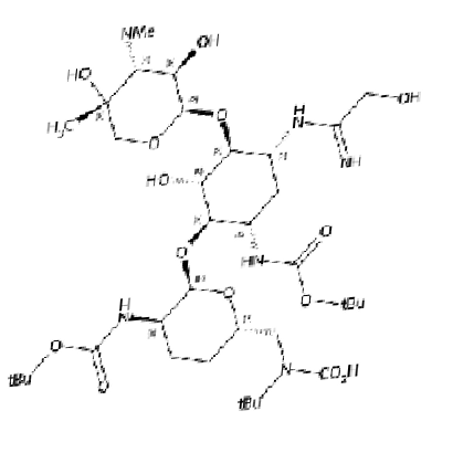 CN[C@@H]1[C@@H](O)[C@@H](O[C@@H]2[C@@H](O)[C@H](O[C@H]3O[C@H](CN(C(=O)O)C(C)(C)C)CC[C@H]3NC(=O)OC(C)(C)C)[C@@H](NC(=O)OC(C)(C)C)C[C@H]2NC(=N)CO)OC[C@]1(C)O